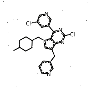 CC1CCC(Cn2cc(Cc3cccnc3)c3nc(Cl)nc(-c4cncc(Cl)c4)c32)CC1